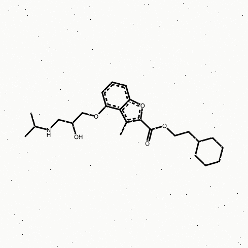 Cc1c(C(=O)OCCC2CCCCC2)oc2cccc(OCC(O)CNC(C)C)c12